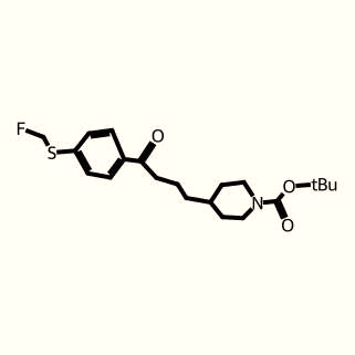 CC(C)(C)OC(=O)N1CCC(CCCC(=O)c2ccc(SCF)cc2)CC1